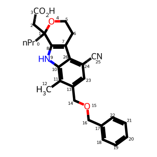 CCCC1(CC(=O)O)OCCc2c1[nH]c1c(C)c(COCc3ccccc3)cc(C#N)c21